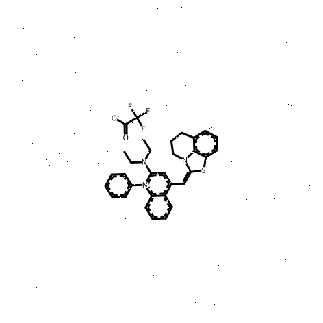 CCN(CC)c1cc(C=C2Sc3cccc4c3N2CCC4)c2ccccc2[n+]1-c1ccccc1.O=C([O-])C(F)(F)F